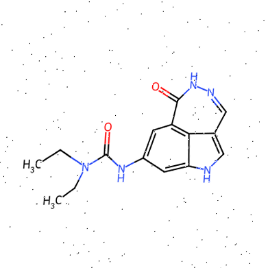 CCN(CC)C(=O)Nc1cc2c3c(c[nH]c3c1)C=NNC2=O